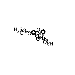 CC(=O)OCCOc1ccc(C(=O)N2CC(=O)N(Cc3ncc(C)o3)Cc3ccccc32)c(Cl)c1